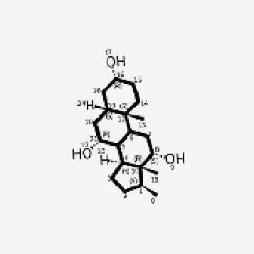 C[C@H]1CC[C@H]2C3C(C[C@H](O)[C@]12C)[C@@]1(C)CC[C@@H](O)C[C@H]1C[C@H]3O